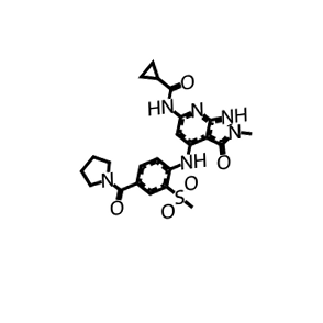 Cn1[nH]c2nc(NC(=O)C3CC3)cc(Nc3ccc(C(=O)N4CCCC4)cc3S(C)(=O)=O)c2c1=O